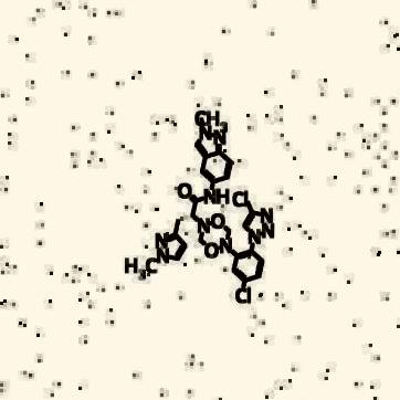 Cn1ccc(C[C@H](C(=O)Nc2ccc3nn(C)cc3c2)N2CON(c3cc(Cl)ccc3-n3cc(Cl)nn3)CO2)n1